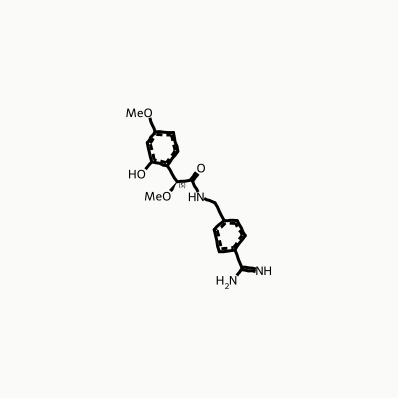 COc1ccc([C@H](OC)C(=O)NCc2ccc(C(=N)N)cc2)c(O)c1